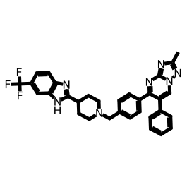 Cc1nc2nc(-c3ccc(CN4CCC(c5nc6ccc(C(F)(F)F)cc6[nH]5)CC4)cc3)c(-c3ccccc3)cn2n1